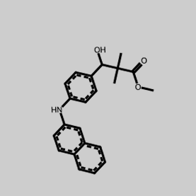 COC(=O)C(C)(C)C(O)c1ccc(Nc2ccc3ccccc3c2)cc1